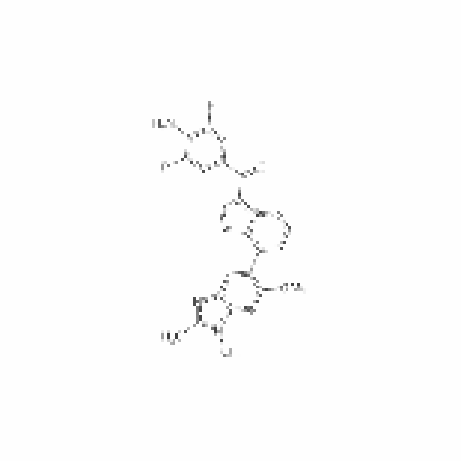 COc1nc2c(cc1-c1cccn3c(C(=O)c4cc(F)c(N)c(F)c4)ccc13)nc(C)n2C